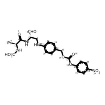 CC(C)[C@H](NC(=O)O)C(=O)N[C@H](C=O)CNc1ccc(COC(=O)Oc2ccc([N+](=O)[O-])cc2)cc1